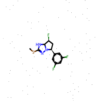 CSC1=NN2C(N1)[C@@H](F)C[C@H]2c1cc(F)cc(F)c1